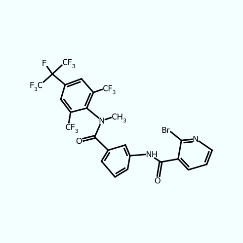 CN(C(=O)c1cccc(NC(=O)c2cccnc2Br)c1)c1c(C(F)(F)F)cc(C(F)(C(F)(F)F)C(F)(F)F)cc1C(F)(F)F